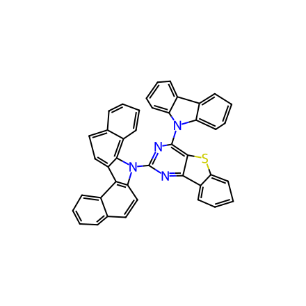 c1ccc2c(c1)ccc1c2c2ccc3ccccc3c2n1-c1nc(-n2c3ccccc3c3ccccc32)c2sc3ccccc3c2n1